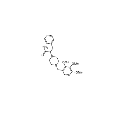 COc1ccc(CN2CCN(C(Cc3ccccc3)C(N)=O)CC2)c(OC)c1OC